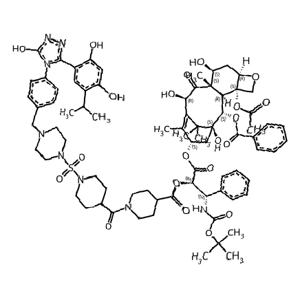 CC(=O)O[C@@]12CO[C@@H]1C[C@H](O)[C@@]1(C)C(=O)[C@H](O)C3=C(C)[C@@H](OC(=O)[C@H](OC(=O)C4CCN(C(=O)C5CCN(S(=O)(=O)N6CCN(Cc7ccc(-n8c(O)nnc8-c8cc(C(C)C)c(O)cc8O)cc7)CC6)CC5)CC4)[C@@H](NC(=O)OC(C)(C)C)c4ccccc4)C[C@@](O)([C@@H](OC(=O)c4ccccc4)[C@H]21)C3(C)C